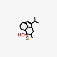 CC(C)C1=CC2CCC3C(C2)C1CC(C)C3(O)S